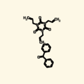 C=CCn1c(=O)n(CC=C)c(=O)n(CC=C)c1=O.O=C(c1ccccc1)c1ccccc1